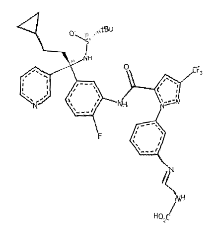 CC(C)(C)[S@@+]([O-])N[C@@](CCC1CC1)(c1cccnc1)c1ccc(F)c(NC(=O)c2cc(C(F)(F)F)nn2-c2cccc(N=CNC(=O)O)c2)c1